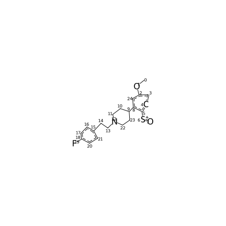 COc1ccc([S+]=O)c(C2CCN(CCc3ccc(F)cc3)CC2)c1